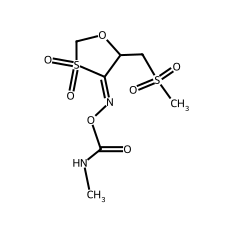 CNC(=O)ON=C1C(CS(C)(=O)=O)OCS1(=O)=O